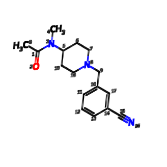 CC(=O)N(C)C1CCN(Cc2cccc(C#N)c2)CC1